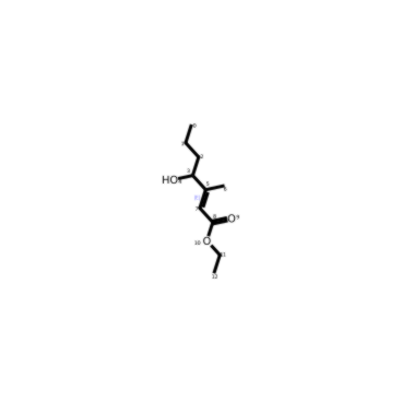 CCCC(O)/C(C)=C/C(=O)OCC